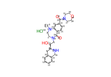 CCN1CCN(CC(O)[C@@H]2Cc3ccccc3CN2)C(=O)c2ccc(C(=O)N3CCOCC3)cc21.Cl